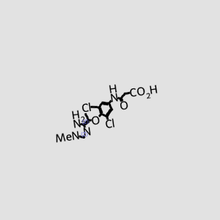 CN/C=N\C(N)=C(\C)Oc1c(Cl)cc(NC(=O)CC(=O)O)cc1Cl